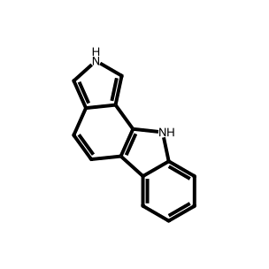 c1ccc2c(c1)[nH]c1c3c[nH]cc3ccc21